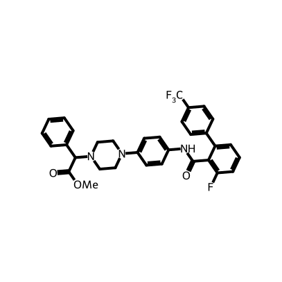 COC(=O)C(c1ccccc1)N1CCN(c2ccc(NC(=O)c3c(F)cccc3-c3ccc(C(F)(F)F)cc3)cc2)CC1